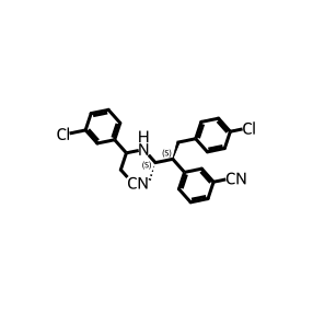 C[C@H](NC(CC#N)c1cccc(Cl)c1)[C@@H](Cc1ccc(Cl)cc1)c1cccc(C#N)c1